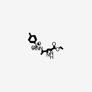 CCOC(=O)c1cc(/C(C)=N/NS(=O)(=O)c2ccc(C)cc2)n[nH]1